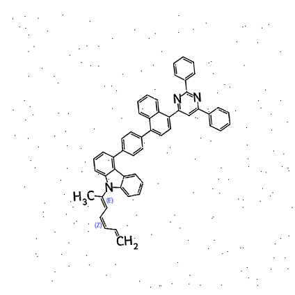 C=C/C=C\C=C(/C)n1c2ccccc2c2c(-c3ccc(-c4ccc(-c5cc(-c6ccccc6)nc(-c6ccccc6)n5)c5ccccc45)cc3)cccc21